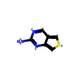 Nc1ncc2cscc2n1